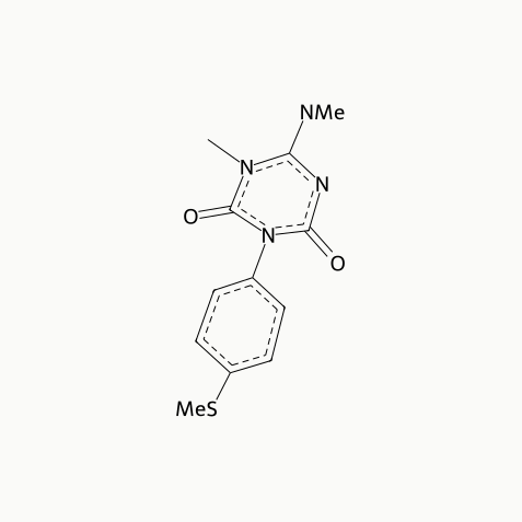 CNc1nc(=O)n(-c2ccc(SC)cc2)c(=O)n1C